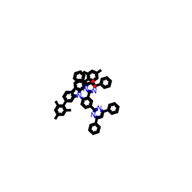 Cc1cc(C)c(-c2ccc3c4ccc(-c5c(C)cc(C)cc5C)cc4n(-c4ccc(-c5nc(-c6ccccc6)cc(-c6ccccc6)n5)cc4-c4nc(-c5ccccc5)cc(-c5ccccc5)n4)c3c2)c(C)c1